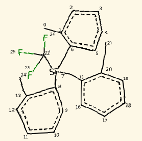 Cc1ccccc1[Si](c1ccccc1C)(c1ccccc1C)C(F)(F)F